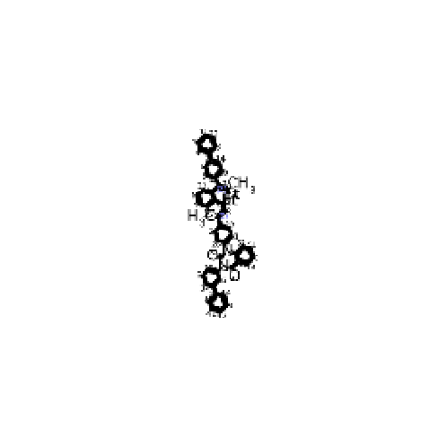 CC/C(C)=C(/c1ccc(-c2ccccc2)cc1)c1ccccc1C(/C=C(\C)c1ccc(-n2c(=O)n(-c3cccc(-c4ccccc4)c3)c(=O)c3ccccc32)cc1)CC